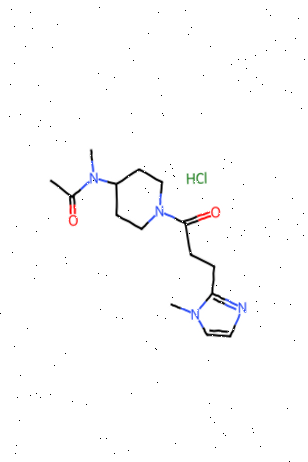 CC(=O)N(C)C1CCN(C(=O)CCc2nccn2C)CC1.Cl